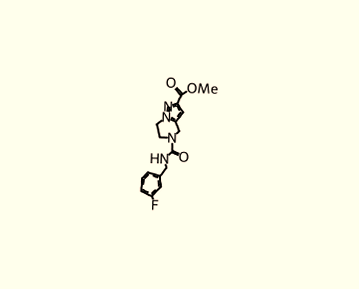 COC(=O)c1cc2n(n1)CCN(C(=O)NCc1cccc(F)c1)C2